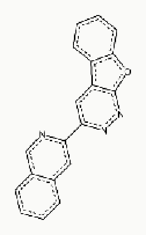 c1ccc2cc(-c3cc4c(nn3)oc3ccccc34)ncc2c1